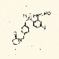 CN(Cc1ccc(CN2CCCC2=O)cc1)c1ccc(F)cc1NC=O